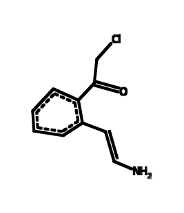 NC=Cc1ccccc1C(=O)CCl